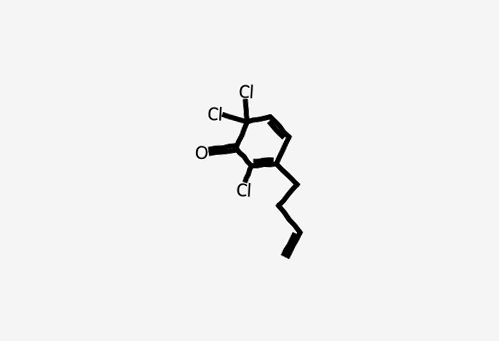 C=CCCC1=C(Cl)C(=O)C(Cl)(Cl)C=C1